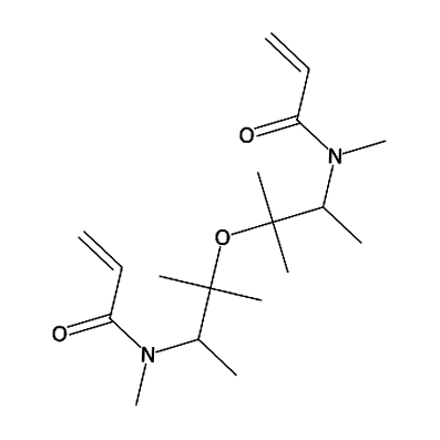 C=CC(=O)N(C)C(C)C(C)(C)OC(C)(C)C(C)N(C)C(=O)C=C